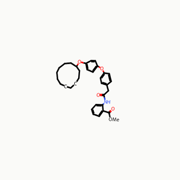 COC(=O)c1ccccc1NC(=O)Cc1ccc(Oc2ccc(OC3CCCCCCCCCCC3)cc2)cc1